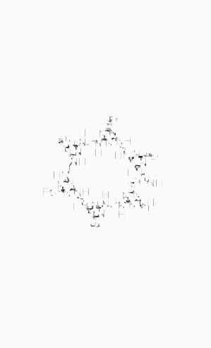 CCNc1nc(NCCNc2nc(NCCNc3nc(NCCNc4nc(NCCNc5nc(NCCNc6nc(NCCN)nc(SCC)n6)nc(SCC)n5)nc(SCC)n4)nc(SCC)n3)nc(SCC)n2)nc(SCC)n1